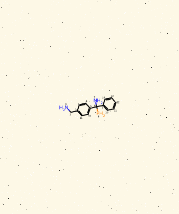 NCc1ccc(C(N)(P)c2cc[c]cc2)cc1